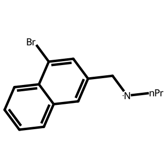 CCC[N]Cc1cc(Br)c2ccccc2c1